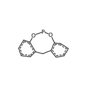 c1ccc2c(c1)Cc1ccccc1O[P]O2